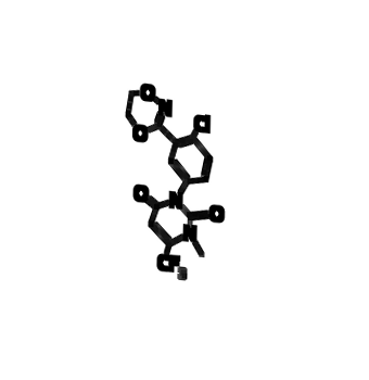 Cn1c(C(F)(F)F)cc(=O)n(-c2ccc(Cl)c(C3=NOCCO3)c2)c1=O